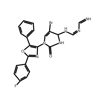 N=C/N=C\NC1NC(=O)N(c2nc(-c3ccc(F)cc3)oc2-c2ccccc2)C=C1Br